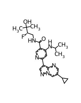 CC(C)Nc1cc(-c2cnn3cc(C4CC4)cnc23)ncc1C(=O)NC[C@@H](F)C(C)(C)O